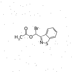 CC(=O)OC(Br)c1nsc2ccccc12